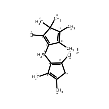 CC1=C(C)C([SiH2]C2=C(Cl)C(C)(C)C(C)=C2C)=C(Cl)C1.[Ti]